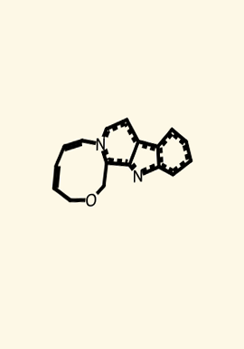 C1=C\COCc2c3nc4ccccc4c-3ccn2\C=C/1